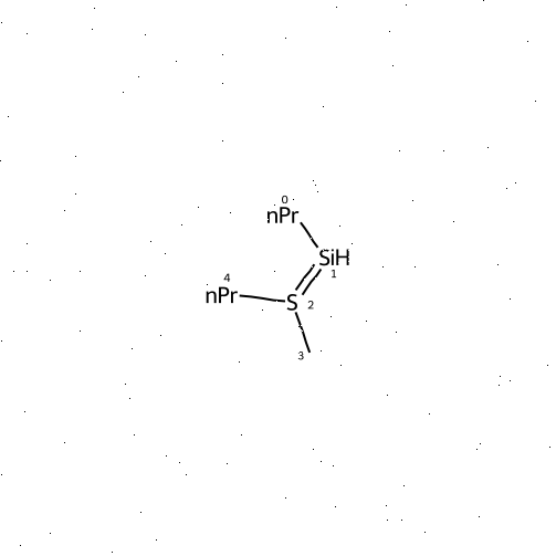 CCC/[SiH]=S(/C)CCC